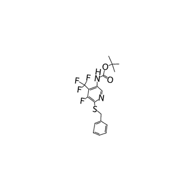 CC(C)(C)OC(=O)Nc1cnc(SCc2ccccc2)c(F)c1C(F)(F)F